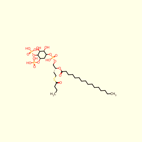 CCCCCCCCCCCCCCCC(=O)O[C@H](CCSC(=O)CCC)COP(=O)(O)OC1C[C@@H](OP(=O)(O)O)C(OP(=O)(O)O)[C@@H](O)[C@H]1O